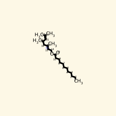 CCCCCCCCCCCC(=O)OC/C=C(\C)CC(C)C=C(C)C